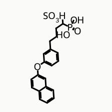 O=P(O)(O)C(CCCc1cccc(Oc2ccc3ccccc3c2)c1)S(=O)(=O)O